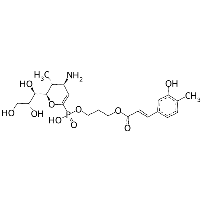 Cc1ccc(/C=C/C(=O)OCCCOP(=O)(O)C2=C[C@H](N)[C@@H](C)[C@H]([C@H](O)[C@H](O)CO)O2)cc1O